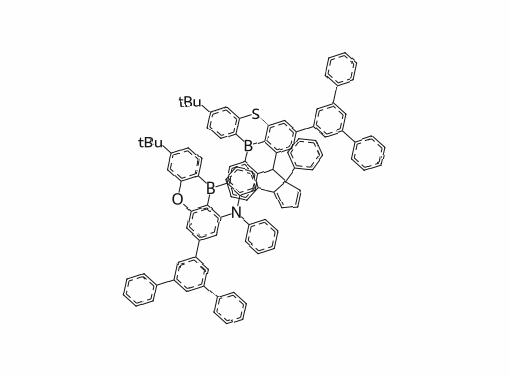 CC(C)(C)c1ccc2c(c1)Oc1cc(-c3cc(-c4ccccc4)cc(-c4ccccc4)c3)cc3c1B2c1cc2c(cc1N3c1ccccc1)C(C1(c3ccccc3)C=CC=C1c1ccccc1)c1cc(-c3cc(-c4ccccc4)cc(-c4ccccc4)c3)cc3c1B2c1ccc(C(C)(C)C)cc1S3